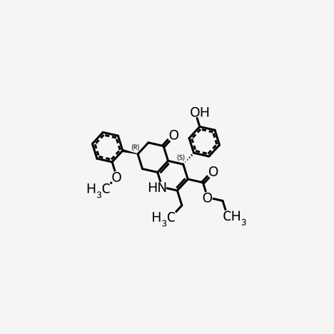 CCOC(=O)C1=C(CC)NC2=C(C(=O)C[C@H](c3ccccc3OC)C2)[C@@H]1c1cccc(O)c1